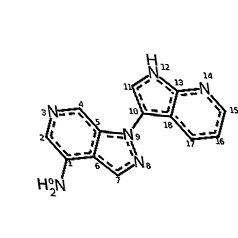 Nc1cncc2c1cnn2-c1c[nH]c2ncccc12